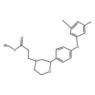 Cc1cc(C)cc(Oc2ccc(C3CN(CCC(=O)OC(C)(C)C)CCO3)cc2)c1